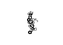 CN1C(=O)[C@@H](N2CCc3c(nn(Cc4ccccc4)c3Cl)C2=O)COc2ccc3c(c21)CCN(C(=O)C(F)(F)F)C3